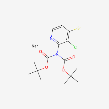 CC(C)(C)OC(=O)N(C(=O)OC(C)(C)C)c1nccc([S-])c1Cl.[Na+]